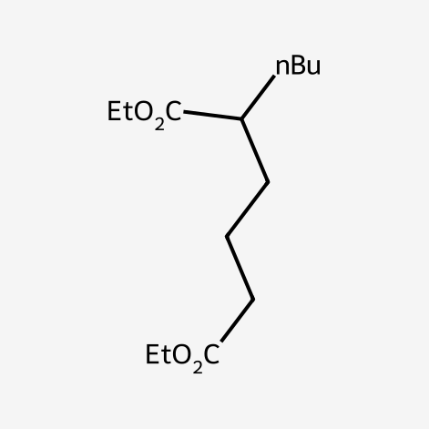 CCCCC(CCCC(=O)OCC)C(=O)OCC